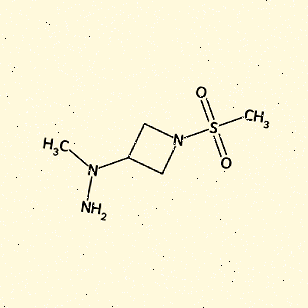 CN(N)C1CN(S(C)(=O)=O)C1